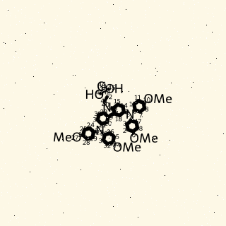 COc1ccc(N(c2ccc(OC)cc2)c2ccc3c(c2)c2cc(N(c4ccc(OC)cc4)c4ccc(OC)cc4)ccc2n3CCP(=O)(O)O)cc1